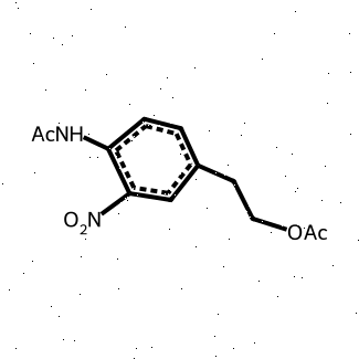 CC(=O)Nc1ccc(CCOC(C)=O)cc1[N+](=O)[O-]